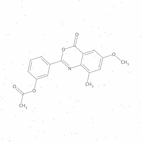 COc1cc(C)c2nc(-c3cccc(OC(C)=O)c3)oc(=O)c2c1